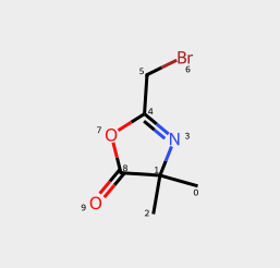 CC1(C)N=C(CBr)OC1=O